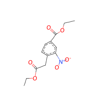 CCOC(=O)Cc1ccc(C(=O)OCC)cc1[N+](=O)[O-]